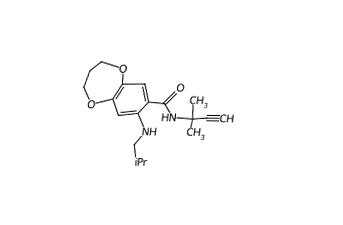 C#CC(C)(C)NC(=O)c1cc2c(cc1NCC(C)C)OCCCO2